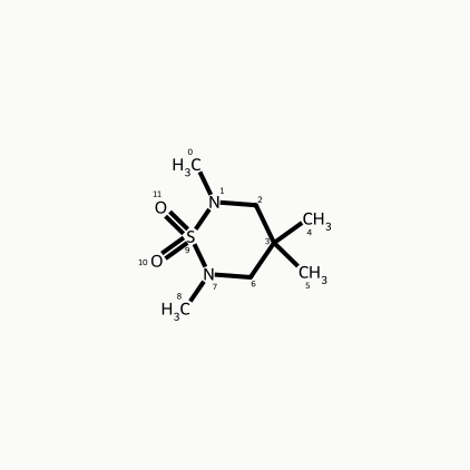 CN1CC(C)(C)CN(C)S1(=O)=O